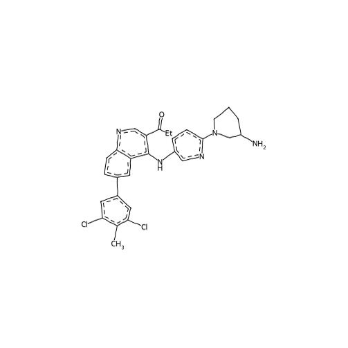 CCC(=O)c1cnc2ccc(-c3cc(Cl)c(C)c(Cl)c3)cc2c1Nc1ccc(N2CCCC(N)C2)nc1